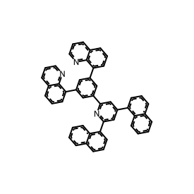 c1ccc2c(-c3cc(-c4cc(-c5cccc6cccnc56)cc(-c5cccc6cccnc56)c4)nc(-c4cccc5ccccc45)c3)cccc2c1